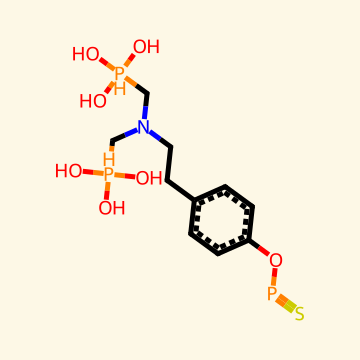 O[PH](O)(O)CN(CCc1ccc(OP=S)cc1)C[PH](O)(O)O